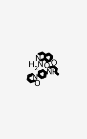 CCCC(Oc1ccc2ccnc(N)c2c1)C(=O)Nc1ccc(-n2ccccc2=O)cc1